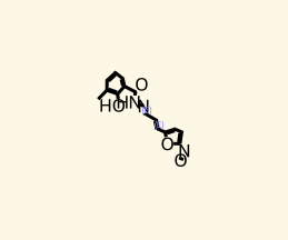 Cc1cccc(C(=O)N/N=C/C=C/c2ccc(N=O)o2)c1O